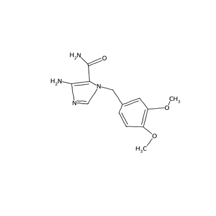 COc1ccc(Cn2cnc(N)c2C(N)=O)cc1OC